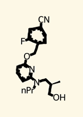 CCCN(C[C@@H](C)CO)c1cccc(OCc2ccc(C#N)cc2F)n1